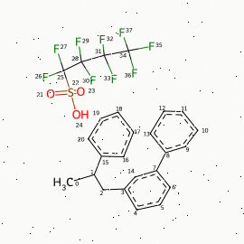 CC(Cc1cccc(-c2ccccc2)c1)c1ccccc1.O=S(=O)(O)C(F)(F)C(F)(F)C(F)(F)C(F)(F)F